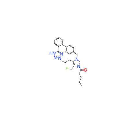 CCCCC(=O)N1CN(Cc2ccc(-c3ccccc3-c3nnn[nH]3)cc2)C(CCC)=C1CF